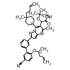 C=CCCC1(C)CCN(c2c(C(OC(C)(C)C)C(=O)O)c(C)nc3cc(-c4cccc(-c5cc(C#N)ccc5O[C@@H](C)CC=C)c4)nn23)CC1